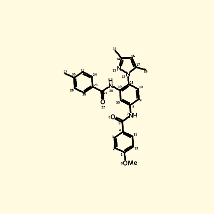 COc1ccc(C(=O)Nc2ccc(-n3nc(C)cc3C)c(NC(=O)c3ccc(C)cc3)c2)cc1